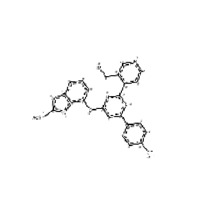 CC(=O)Nc1nc2c(Oc3cc(-c4ccc(C(F)(F)F)cc4)nc(-c4ccncc4CO)n3)cccc2s1